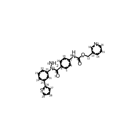 NN(C(=O)c1ccc(NC(=O)OCc2cccnc2)cc1)c1cccc(-c2cccs2)c1